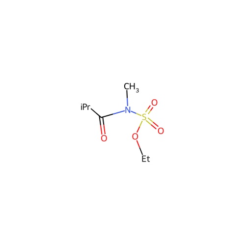 CCOS(=O)(=O)N(C)C(=O)C(C)C